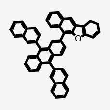 C1=Cc2oc3c(-c4ccc5c(-c6ccc7ccccc7c6)c6ccccc6c(-c6ccc7ccccc7c6)c5c4)c4ccccc4cc3c2CC1